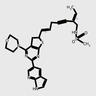 C/C=C(\C#CC/C=C/C1Cc2c(nc(-c3cnc4[nH]ccc4c3)nc2N2CCOCC2)S1)CNS(C)(=O)=O